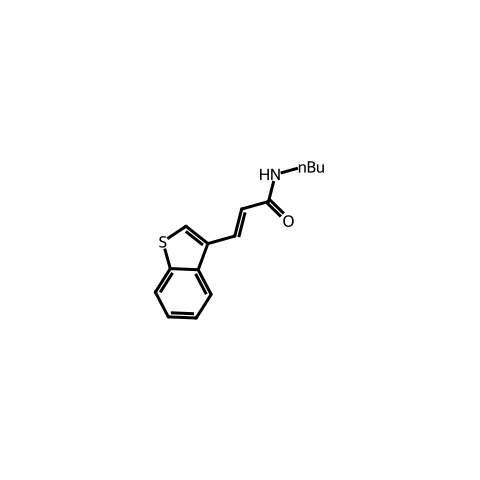 CCCCNC(=O)/C=C/c1csc2ccccc12